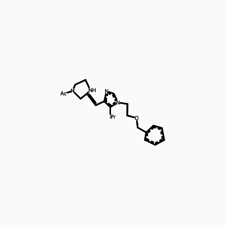 CC(=O)N1CCN/C(=C\c2ncn(CCOCc3ccccc3)c2C(C)C)C1